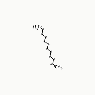 [CH2]CCCCCCCCCCC